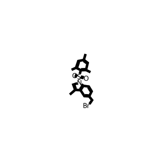 Cc1cc(C)c(S(=O)(=O)n2cc(C)c3cc(CBr)ccc32)c(C)c1